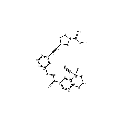 COC(=O)N1CCC(C#Cc2ccnc(CNC(=O)c3ccc4c(c3)[C@](C)(C#N)COC4)c2)C1